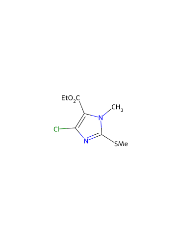 CCOC(=O)c1c(Cl)nc(SC)n1C